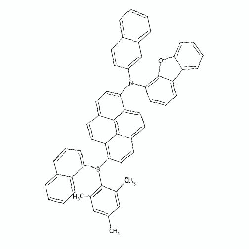 Cc1cc(C)c(B(c2cccc3ccccc23)c2ccc3ccc4c(N(c5ccc6ccccc6c5)c5cccc6c5oc5ccccc56)ccc5ccc2c3c54)c(C)c1